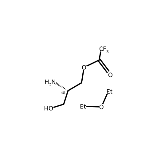 CCOCC.N[C@@H](CO)COC(=O)C(F)(F)F